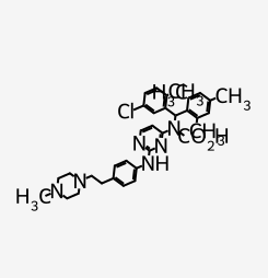 Cc1cc(C)c(C(c2cc(Cl)ccc2C)N(C(=O)O)c2ccnc(Nc3ccc(CCN4CCN(C)CC4)cc3)n2)c(C)c1